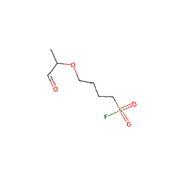 CC(C=O)OCCCCS(=O)(=O)F